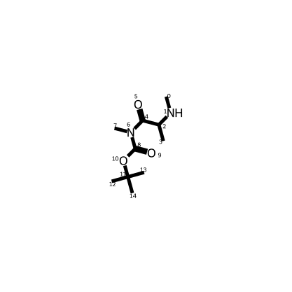 CNC(C)C(=O)N(C)C(=O)OC(C)(C)C